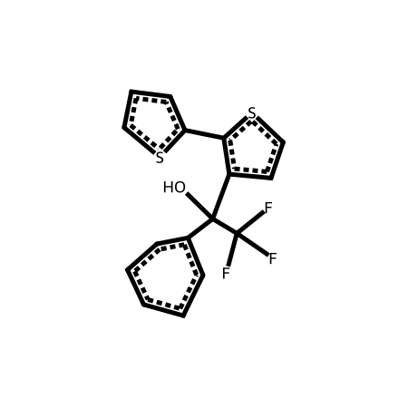 OC(c1ccccc1)(c1ccsc1-c1cccs1)C(F)(F)F